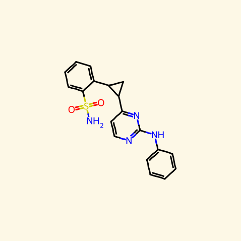 NS(=O)(=O)c1ccccc1C1CC1c1ccnc(Nc2ccccc2)n1